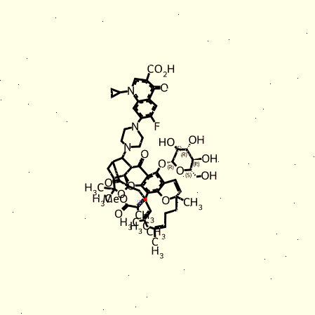 COC(=O)/C(C)=C\CC12OC(C)(C)C3CC(C1=O)C(N1CCN(c4cc5c(cc4F)c(=O)c(C(=O)O)cn5C4CC4)CC1)C1C(=O)c4c(O[C@H]5O[C@@H](CO)[C@H](O)[C@@H](O)[C@@H]5O)c5c(c(CC=C(C)C)c4OC132)OC(C)(CCC=C(C)C)C=C5